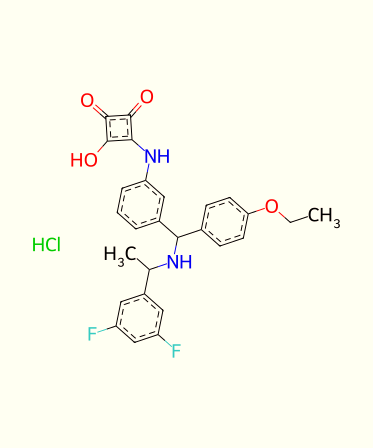 CCOc1ccc(C(NC(C)c2cc(F)cc(F)c2)c2cccc(Nc3c(O)c(=O)c3=O)c2)cc1.Cl